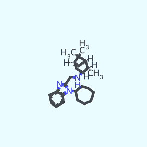 C[C@@H]1[C@H]2C[C@@H](C[C@H]1NCc1nc3ccccc3n1C1CCCCCC1)C2(C)C